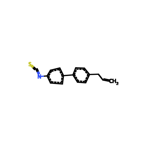 C=CCc1ccc(-c2ccc(N=C=S)cc2)cc1